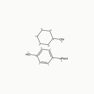 CCCCCc1ccc(O)cc1.OC1CCCCC1